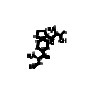 C[C@@H](O)[C@H](N)C(=O)N1CCSC12CCN(C(=O)[C@@H](N)CO)CC2